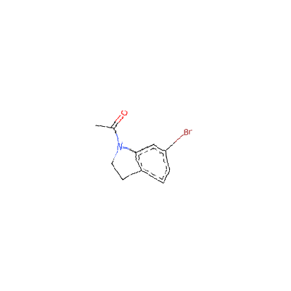 CC(=O)N1CCc2ccc(Br)cc21